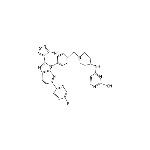 N#Cc1nccc(NC2CCN(Cc3ccc(-n4c(-c5csnc5N)nc5ccc(-c6ccc(F)cn6)nc54)cc3)CC2)n1